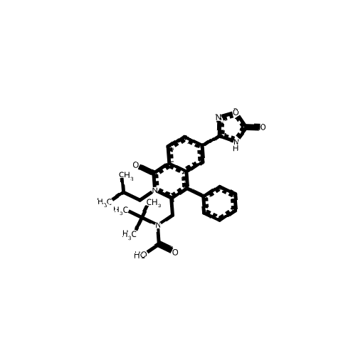 CC(C)Cn1c(CN(C(=O)O)C(C)(C)C)c(-c2ccccc2)c2cc(-c3noc(=O)[nH]3)ccc2c1=O